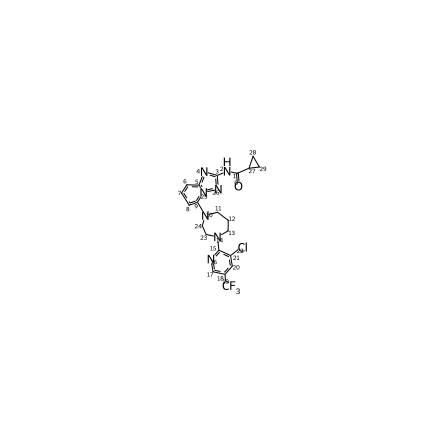 O=C(Nc1nc2cccc(N3CCCN(c4ncc(C(F)(F)F)cc4Cl)CC3)n2n1)C1CC1